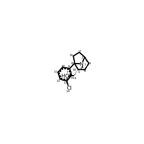 CN1C2CC[C@H](CO)C1(c1cccc(Cl)c1)CC2